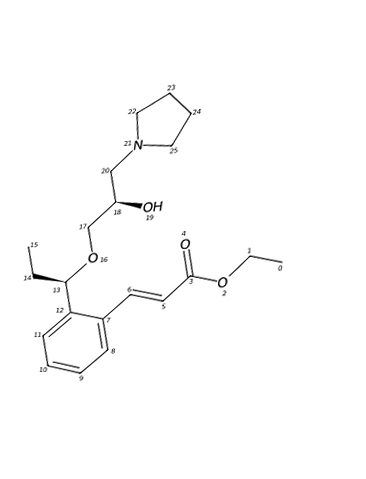 CCOC(=O)/C=C/c1ccccc1[C@@H](CC)OC[C@H](O)CN1CCCC1